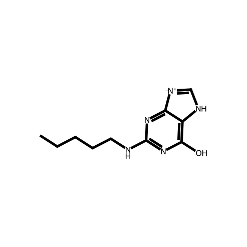 CCCCCNc1nc(O)c2c(n1)[N+]=CN2